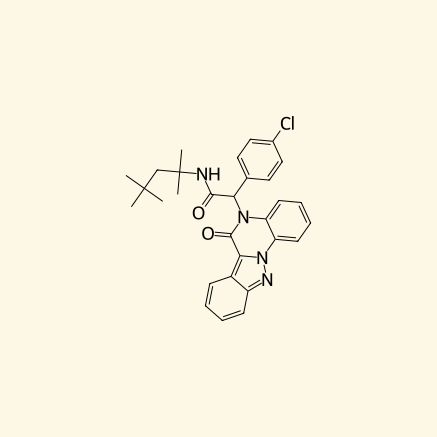 CC(C)(C)CC(C)(C)NC(=O)C(c1ccc(Cl)cc1)n1c(=O)c2c3ccccc3nn2c2ccccc21